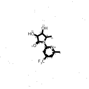 Cc1cc(C(F)(F)F)cc(N2C(=O)C(O)C(O)C2C)n1